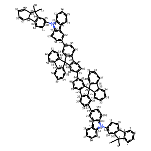 CC1(C)c2ccccc2-c2ccc(-n3c4ccccc4c4cc(-c5ccc6c(c5)C5(c7ccccc7-c7ccccc75)c5cc(-c7ccc8c(c7)C7(c9ccccc9-c9ccccc97)c7cc(-c9ccc%10c(c9)c9ccccc9n%10-c9ccc%10c(c9)C(C)(C)C9C=CC=CC%109)ccc7-8)ccc5-6)ccc43)cc21